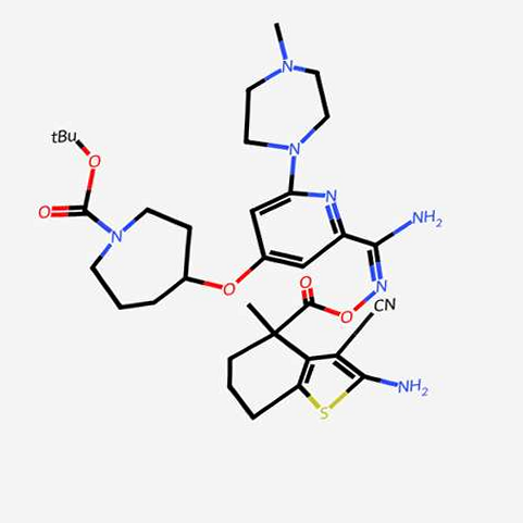 CN1CCN(c2cc(OC3CCCN(C(=O)OC(C)(C)C)CC3)cc(/C(N)=N\OC(=O)C3(C)CCCc4sc(N)c(C#N)c43)n2)CC1